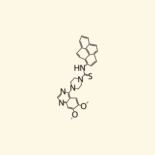 COc1cc2ncnc(N3CCN(C(=S)Nc4ccc5ccc6cccc7ccc4c5c67)CC3)c2cc1OC